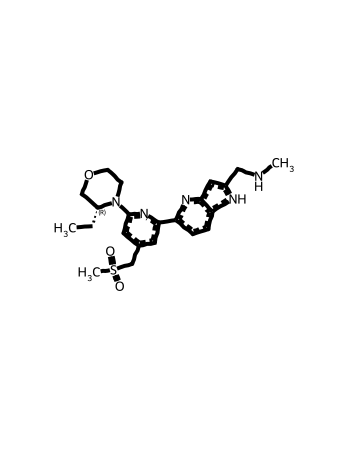 CC[C@@H]1COCCN1c1cc(CS(C)(=O)=O)cc(-c2ccc3[nH]c(CNC)cc3n2)n1